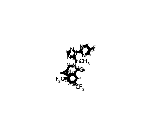 C[C@@H](c1ncnn1-c1ncc(F)cn1)N(CC1CC1)C(=O)c1cc(C(F)(F)F)cc(C(F)(F)F)c1